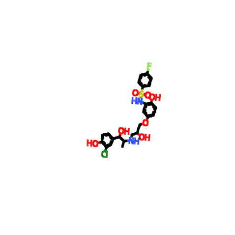 CC(NC[C@H](O)COc1ccc(O)c(NS(=O)(=O)c2ccc(F)cc2)c1)C(O)c1ccc(O)c(Cl)c1